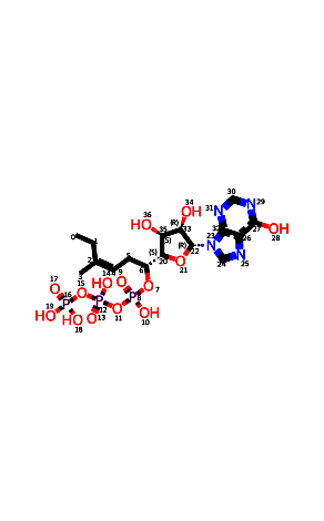 CCC(C)=CCC(OP(=O)(O)OP(=O)(O)OP(=O)(O)O)[C@H]1O[C@@H](n2cnc3c(O)ncnc32)[C@H](O)[C@@H]1O